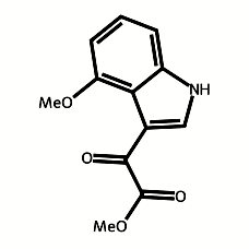 COC(=O)C(=O)c1c[nH]c2cccc(OC)c12